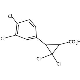 O=C(O)C1C(c2ccc(Cl)c(Cl)c2)C1(Cl)Cl